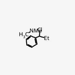 CCC(Cl)c1ccccc1.CNC